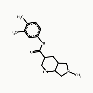 Cc1ccc(NC(=O)C2CNC3CN(C)CC3C2)cc1C(F)(F)F